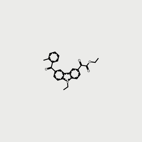 CCOC(=O)C(=O)c1ccc2c(c1)c1cc(C(=O)c3ccccc3C)ccc1n2CC